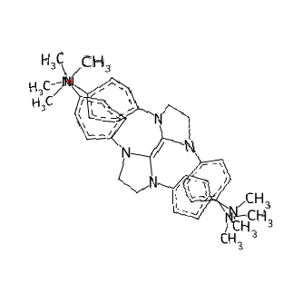 CN(C)c1ccc(N2CCN(c3ccc(N(C)C)cc3)C2=C2N(c3ccc(N(C)C)cc3)CCN2c2ccc(N(C)C)cc2)cc1